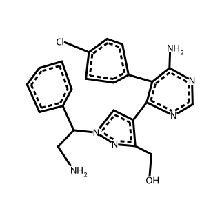 NCC(c1ccccc1)n1cc(-c2ncnc(N)c2-c2ccc(Cl)cc2)c(CO)n1